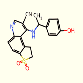 CC(Nc1c(C#N)cnc2ccc3c(c12)CCS3(=O)=O)c1ccc(O)cc1